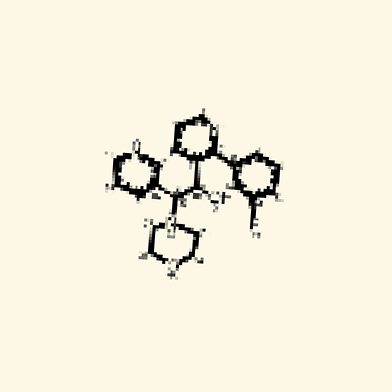 O[C@H](c1cccnc1-c1cccc(F)c1)[C@H](c1cccnc1)N1CCOCC1